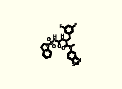 CN(C(=O)C(Cc1cc(F)cc(F)c1)NC(=O)NS(=O)(=O)N1CCc2ccccc21)c1ccc2scnc2c1